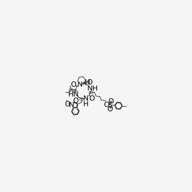 CC[C@@H](C)[C@@H]1NC(=O)[C@H](Cc2cn(OC)c3ccccc23)NC(=O)[C@H](CCCCCOS(=O)(=O)c2ccc(C)cc2)NC(=O)[C@H]2CCCCN2C1=O